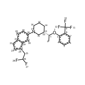 CC(Oc1ccccc1C(F)(F)F)[C@H]1CCCN(c2cnc3cnn(CC(F)F)c3n2)C1